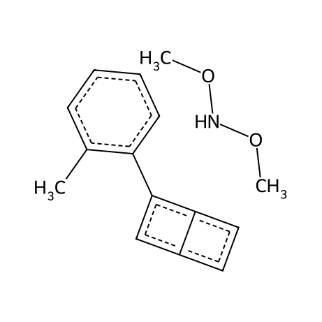 CONOC.Cc1ccccc1-c1cc2ccc1-2